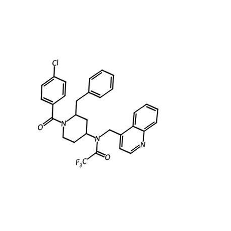 O=C(c1ccc(Cl)cc1)N1CCC(N(Cc2ccnc3ccccc23)C(=O)C(F)(F)F)CC1Cc1ccccc1